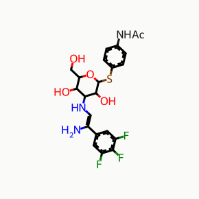 CC(=O)Nc1ccc(SC2OC(CO)C(O)C(N/C=C(\N)c3cc(F)c(F)c(F)c3)C2O)cc1